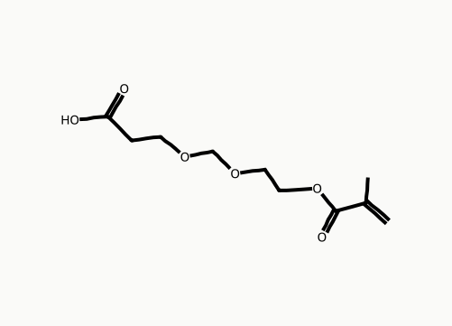 C=C(C)C(=O)OCCOCOCCC(=O)O